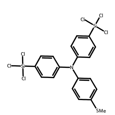 CSc1ccc(N(c2ccc([Si](Cl)(Cl)Cl)cc2)c2ccc([Si](Cl)(Cl)Cl)cc2)cc1